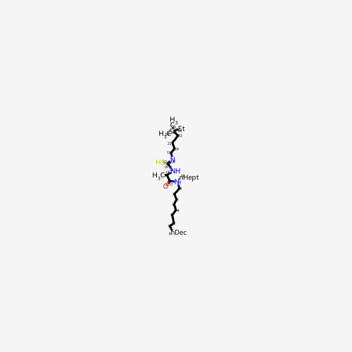 CCCCCCCCCCCCCCCCCCN(CCCCCCC)C(=O)C(C)NC(S)=NCCCC[Si](C)(C)CC